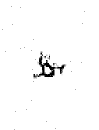 FC(F)Oc1ccc(Br)c2cn[nH]c12